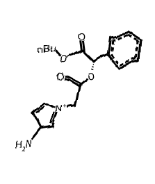 CCCCOC(=O)[C@@H](OC(=O)C[N+]1=CC(N)C=C1)c1ccccc1